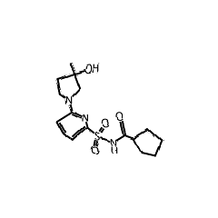 CC1(O)CCN(c2cccc(S(=O)(=O)NC(=O)C3CCCC3)n2)C1